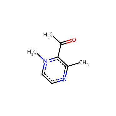 CC(=O)c1c(C)ncc[n+]1C